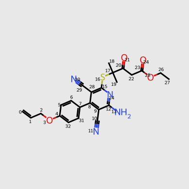 C=CCOc1ccc(-c2c(C#N)c(N)nc(SC(C)(C)C(=O)CC(=O)OCC)c2C#N)cc1